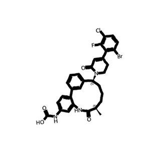 C[C@@H]1CCC[C@H](N2CCC(c3c(Br)ccc(Cl)c3F)=CC2=O)c2cccc(c2)-c2ccc(NC(=O)O)cc2NC1=O